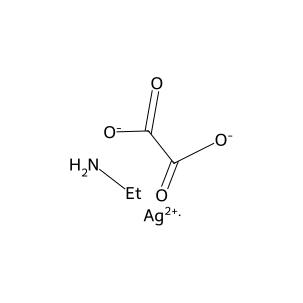 CCN.O=C([O-])C(=O)[O-].[Ag+2]